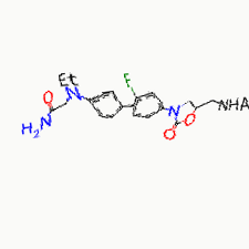 CCN(CC(N)=O)c1ccc(-c2ccc(N3CC(CNC(C)=O)OC3=O)cc2F)cc1